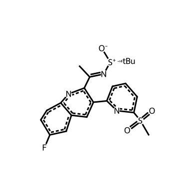 CC(=N[S@+]([O-])C(C)(C)C)c1nc2ccc(F)cc2cc1-c1cccc(S(C)(=O)=O)n1